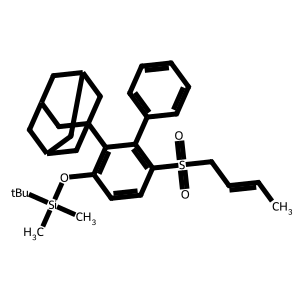 CC=CCS(=O)(=O)c1ccc(O[Si](C)(C)C(C)(C)C)c(C23CC4CC(CC(C4)C2)C3)c1-c1ccccc1